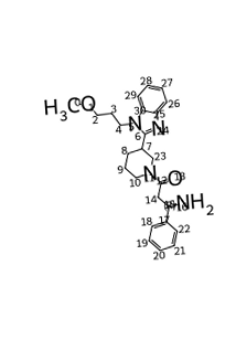 COCCCn1c(C2CCCN(C(=O)C[C@@H](N)c3ccccc3)C2)nc2ccccc21